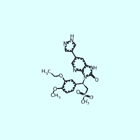 CCOc1cc([C@H](CS(C)(=O)=O)n2c(=O)[nH]c3cc(-c4cn[nH]c4)cnc32)ccc1OC